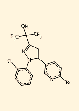 OC(C1=NN(c2ccccc2Cl)C(c2ccc(Br)nc2)C1)(C(F)(F)F)C(F)(F)F